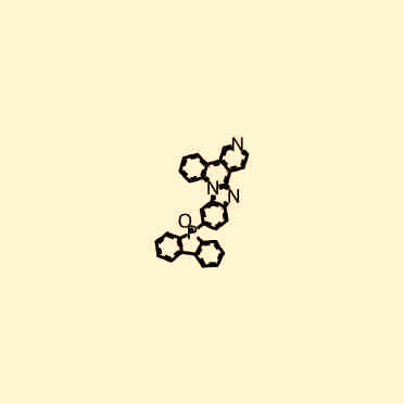 O=P1(c2ccc3nc4c5ccncc5c5ccccc5n4c3c2)c2ccccc2-c2ccccc21